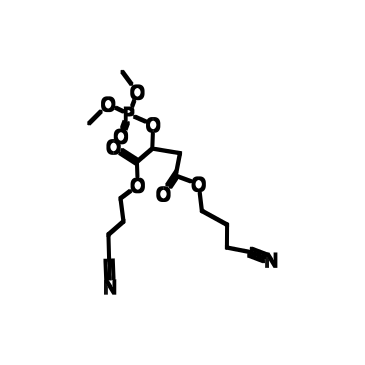 COP(=O)(OC)OC(CC(=O)OCCCC#N)C(=O)OCCCC#N